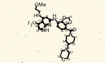 COCCNc1cc(Nc2ccc(C(=O)N3CCC(N4CCOCC4)CC3)c3c2OCO3)nc2[nH]cc(C(F)(F)F)c12